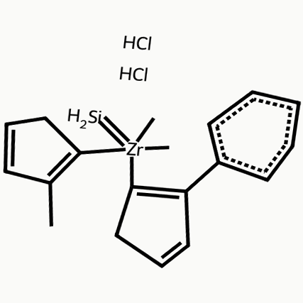 CC1=[C]([Zr]([CH3])([CH3])(=[SiH2])[C]2=C(c3ccccc3)C=CC2)CC=C1.Cl.Cl